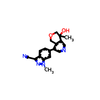 Cn1nc(C#N)c2ccc(-c3cncc4c3COCC4(C)O)cc21